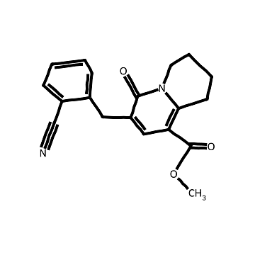 COC(=O)c1cc(Cc2ccccc2C#N)c(=O)n2c1CCCC2